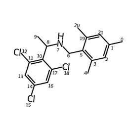 Cc1cc(C)c(CNC(C)c2c(Cl)cc(Cl)cc2Cl)c(C)c1